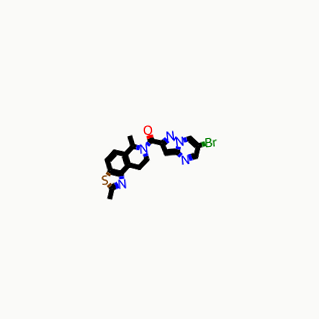 Cc1nc2c3c(ccc2s1)C(C)N(C(=O)c1cc2ncc(Br)cn2n1)CC3